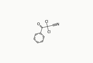 N#CC(Cl)(Cl)C(=O)c1ccccc1